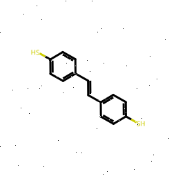 Sc1ccc(C=Cc2ccc(S)cc2)cc1